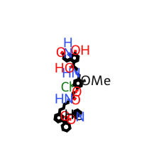 COc1cc(OCC(=O)NCCCCc2cccc(C3(C(=O)O[C@H]4CN5CCC4CC5)CCCCC3)c2)c(Cl)cc1CNCC(O)c1ccc(O)c2[nH]c(=O)ccc12